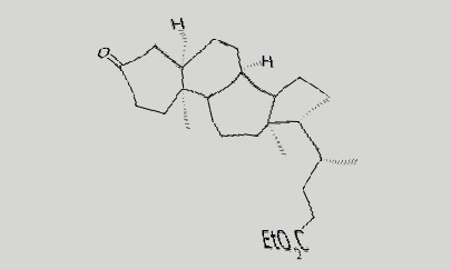 CCOC(=O)CC[C@@H](C)[C@H]1CCC2[C@@H]3CC[C@@H]4CC(=O)CC[C@]4(C)C3CC[C@@]21C